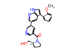 COc1ccccc1-c1c[nH]c2ncc(-c3cncc(C(=O)N4CCC[C@H]4CO)c3)cc12